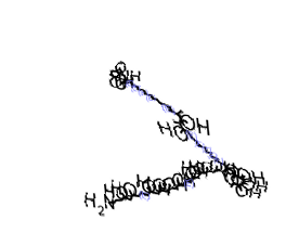 CC(/C=C/CC/C=C/C=C/C=C/C=C/C(=O)NC1=C(O)CCC1=O)C(O)C(C)C(O)/C=C/C=C/C=C/C=C/C=C/CC(OC1OC(C)C(O)C(O)C1O)C(C)C(O)CC(O)CC(O)CC(O)/C=C/CC(O)CC(O)CC(O)CC(O)/C=C/CC(O)CC(O)CCCN